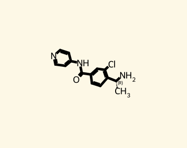 C[C@@H](N)c1ccc(C(=O)Nc2ccncc2)cc1Cl